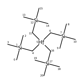 C[Si](C)(C)[CH2][Hf]([CH2][Si](C)(C)C)([CH2][Si](C)(C)C)[CH2][Si](C)(C)C